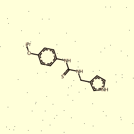 CC(C)Oc1ccc(NC(=S)NCc2cc[nH]c2)cc1